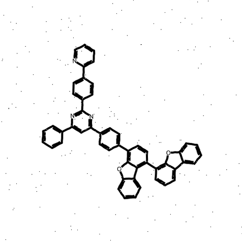 c1ccc(-c2cc(-c3ccc(-c4ccc(-c5cccc6c5oc5ccccc56)c5c4oc4ccccc45)cc3)nc(-c3ccc(-c4ccccn4)cc3)n2)cc1